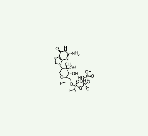 C[C@@]1(O)[C@H](O)[C@@](CF)(COP(=O)(O)OP(=O)(O)OP(=O)(O)O)OC[C@H]1n1cnc2c(=O)[nH]c(N)nc21